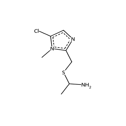 CC(N)SCc1ncc(Cl)n1C